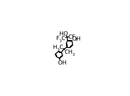 CC(C)(c1cccc(O)c1)c1ccc(O)c(C(O)(C(F)(F)F)C(F)(F)F)c1